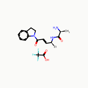 CC[C@@H](/C=C/C(=O)N1CCc2ccccc21)NC(=O)[C@H](C)N.O=C(O)C(F)(F)F